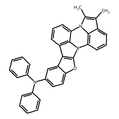 Cc1c(C)n2c3c(cccc13)B1c3oc4ccc(N(c5ccccc5)c5ccccc5)cc4c3-c3cccc-2c31